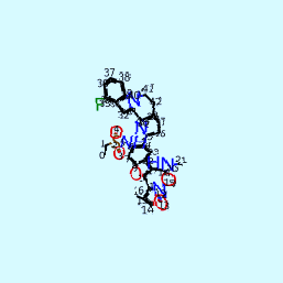 CCS(=O)(=O)Nc1cc2oc(-c3nocc3C)c(C(=O)NC)c2cc1-c1ccc2c(n1)-c1cc3c(F)cccc3n1CC2